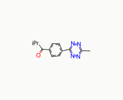 Cc1nnc(-c2ccc(C(=O)C(C)C)cc2)nn1